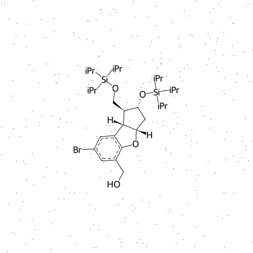 CC(C)[Si](OC[C@@H]1[C@H]2c3cc(Br)cc(CO)c3O[C@H]2C[C@H]1O[Si](C(C)C)(C(C)C)C(C)C)(C(C)C)C(C)C